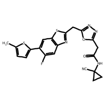 Cc1ccc(-c2cc3sc(Cc4nnc(CC(=O)NC5(C#N)CC5)o4)nc3cc2F)s1